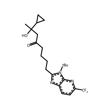 CC(O)(CC(=O)CCCCc1nc2ccc(C(F)(F)F)nc2n1C(C)(C)C)C1CC1